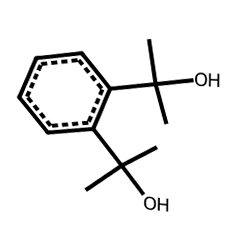 CC(C)(O)c1ccccc1C(C)(C)O